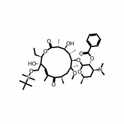 CC[C@H]1OC(=O)[C@H](C)[C@@H](O)[C@H](C)[C@@H](OC2O[C@H](C)C[C@H](N(C)C)[C@H]2OC(=O)c2ccccc2)[C@@](C)(OC)C[C@@H](C)C(=O)/C(C)=C/[C@@]1(O)CO[Si](C)(C)C(C)(C)C